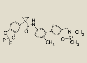 Cc1ccc(NC(=O)C2(c3ccc4c(c3)OC(F)(F)O4)CC2)cc1-c1ccc(CN(C)[S+](C)[O-])cc1